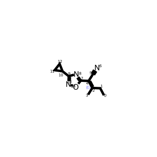 CC/C(C)=C(\C#N)c1nc(C2CC2)no1